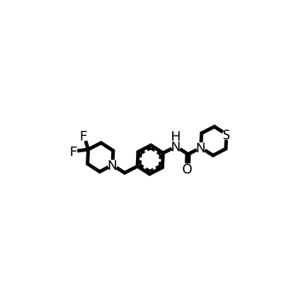 O=C(Nc1ccc(CN2CCC(F)(F)CC2)cc1)N1CCSCC1